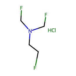 Cl.FCCN(CF)CF